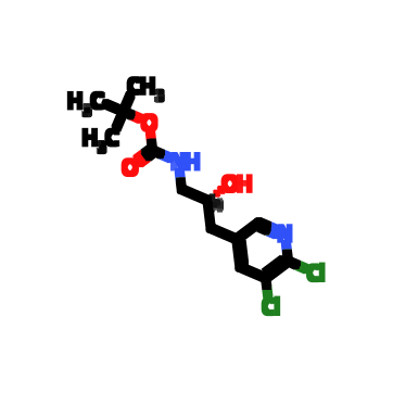 CC(C)(C)OC(=O)NC[C@H](O)Cc1cnc(Cl)c(Cl)c1